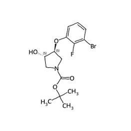 CC(C)(C)OC(=O)N1C[C@H](Oc2cccc(Br)c2F)[C@@H](O)C1